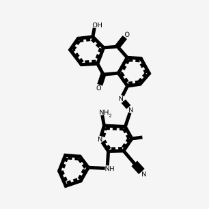 Cc1c(C#N)c(Nc2ccccc2)nc(N)c1/N=N/c1cccc2c1C(=O)c1cccc(O)c1C2=O